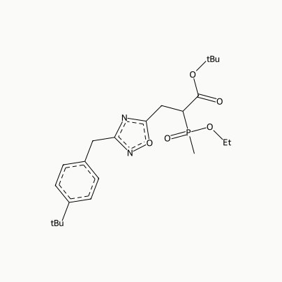 CCOP(C)(=O)C(Cc1nc(Cc2ccc(C(C)(C)C)cc2)no1)C(=O)OC(C)(C)C